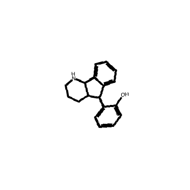 Oc1ccccc1C1c2ccccc2C2NCCCC21